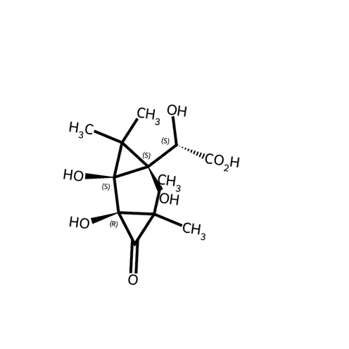 CC1(C)C(=O)[C@]1(O)[C@]1(O)C(C)(C)[C@]1(O)[C@H](O)C(=O)O